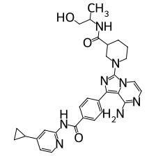 CC(CO)NC(=O)C1CCCN(c2nc(-c3ccc(C(=O)Nc4cc(C5CC5)ccn4)cc3)c3c(N)nccn23)C1